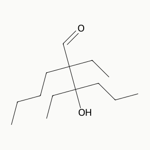 CCCCC(C=O)(CC)C(O)(CC)CCC